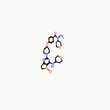 CN(C(=O)c1ccc(OC2CCN(c3nc4c(c(NC5CCOCC5)n3)[S+]([O-])CC4)CC2)cc1)C1CCOCC1